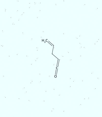 C=CC[C]=C=O